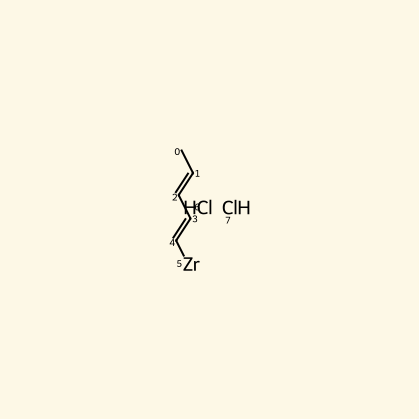 CC=CC=[CH][Zr].Cl.Cl